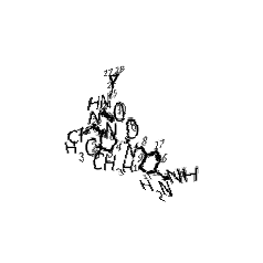 CC1(C)C[C@@H](C(=O)NCc2ccc(C(=N)N)cc2)n2c1c(Cl)nc(NCC1CC1)c2=O